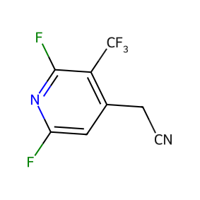 N#CCc1cc(F)nc(F)c1C(F)(F)F